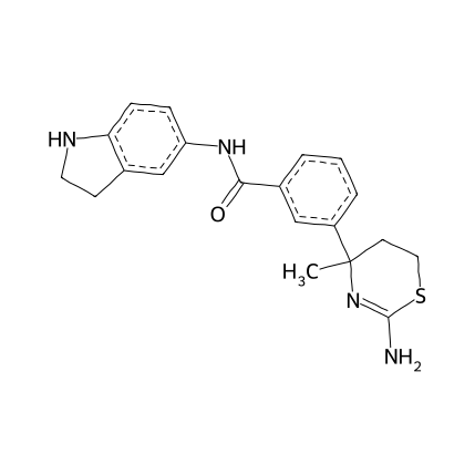 CC1(c2cccc(C(=O)Nc3ccc4c(c3)CCN4)c2)CCSC(N)=N1